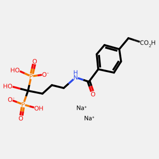 O=C(O)Cc1ccc(C(=O)NCCCC(O)(P(=O)([O-])O)P(=O)([O-])O)cc1.[Na+].[Na+]